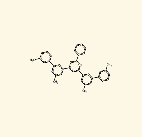 Cc1cccc(-c2cc(C)cc(-c3cc(-c4cc(C)cc(-c5cccc(C)c5)c4)nc(-c4ccccc4)n3)c2)c1